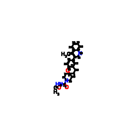 CONC(=O)N1CCC2(CCc3cc(-c4cnc5ccccc5c4C)ccc3O2)CC1